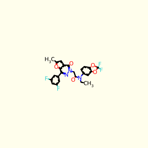 CCN(C(=O)Cn1nc(-c2cc(F)cc(F)c2)c2oc(C)cc2c1=O)c1ccc2c(c1)OC(F)(F)O2